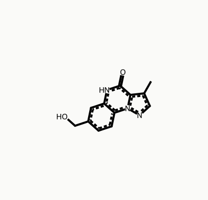 Cc1cnn2c1c(=O)[nH]c1cc(CO)ccc12